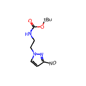 CC(C)(C)OC(=O)NCCn1ccc(N=O)n1